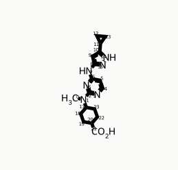 CN(c1nccc(Nc2cc(C3CC3)[nH]n2)n1)C1CCC(C(=O)O)CC1